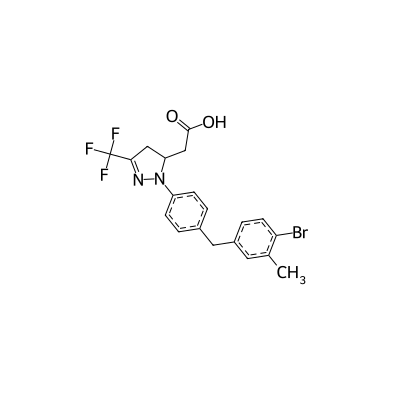 Cc1cc(Cc2ccc(N3N=C(C(F)(F)F)CC3CC(=O)O)cc2)ccc1Br